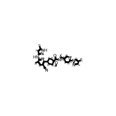 COC1(C(=O)N[C@@H](C)c2ccc(-n3cc(F)cn3)nc2)CCC(c2nc(Nc3cc(C)[nH]n3)c(C)cc2C#N)CC1